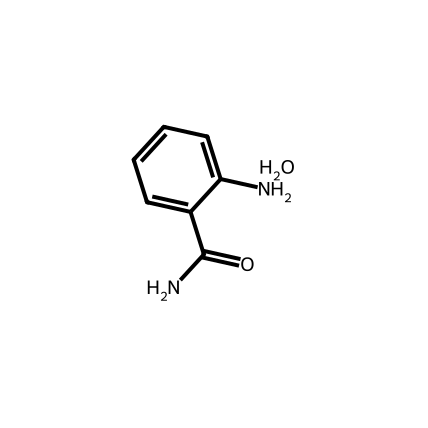 NC(=O)c1ccccc1N.O